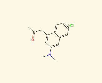 CC(=O)Cc1cc(N(C)C)cc2ccccc12.Cl